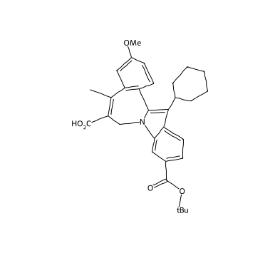 COc1ccc2c(c1)C(C)=C(C(=O)O)Cn1c-2c(C2CCCCC2)c2ccc(C(=O)OC(C)(C)C)cc21